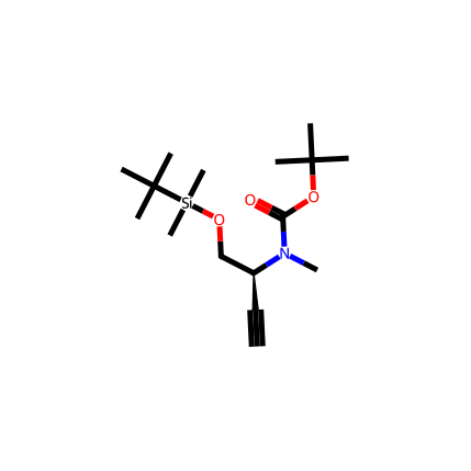 C#C[C@@H](CO[Si](C)(C)C(C)(C)C)N(C)C(=O)OC(C)(C)C